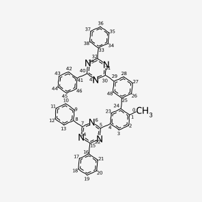 Cc1ccc(-c2nc(-c3ccccc3)nc(-c3ccccc3)n2)cc1-c1cccc(-c2nc(-c3ccccc3)nc(-c3ccccc3)n2)c1